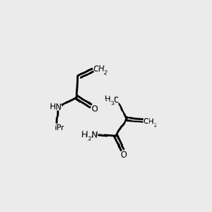 C=C(C)C(N)=O.C=CC(=O)NC(C)C